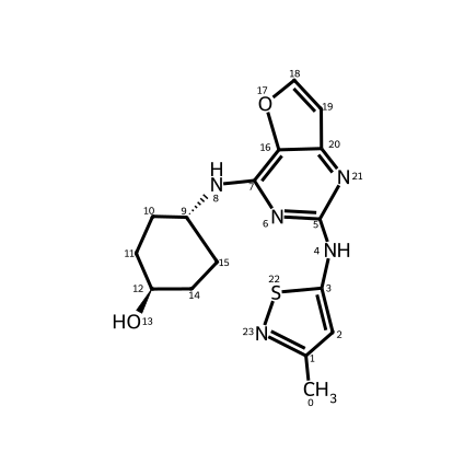 Cc1cc(Nc2nc(N[C@H]3CC[C@H](O)CC3)c3occc3n2)sn1